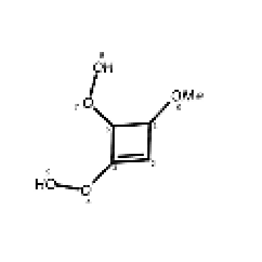 COC1C=C(OO)C1OO